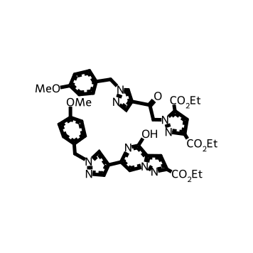 CCOC(=O)c1cc(C(=O)OCC)n(CC(=O)c2cnn(Cc3ccc(OC)cc3)c2)n1.CCOC(=O)c1cc2c(O)nc(-c3cnn(Cc4ccc(OC)cc4)c3)cn2n1